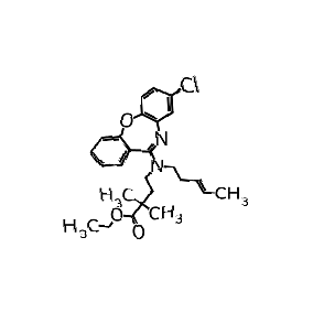 CC=CCCN(CCC(C)(C)C(=O)OCC)C1=Nc2cc(Cl)ccc2Oc2ccccc21